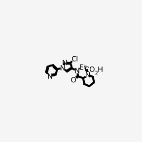 CCN(C(=O)C1CCCCN1C(=O)O)c1cn(-c2cccnc2)nc1Cl